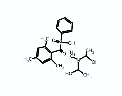 CC(O)N(C)C(C)O.Cc1cc(C)c(C(=O)P(=O)(O)c2ccccc2)c(C)c1